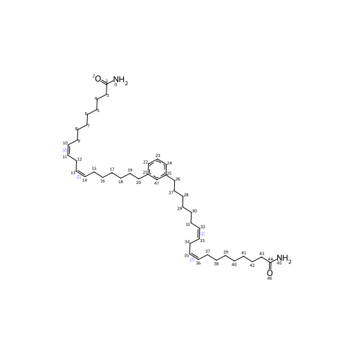 NC(=O)CCCCCCC/C=C\C/C=C\CCCCCCc1cccc(CCCCCC/C=C\C/C=C\CCCCCCCC(N)=O)c1